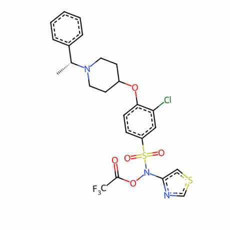 C[C@H](c1ccccc1)N1CCC(Oc2ccc(S(=O)(=O)N(OC(=O)C(F)(F)F)c3cscn3)cc2Cl)CC1